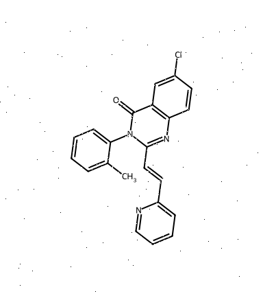 Cc1ccccc1-n1c(C=Cc2ccccn2)nc2ccc(Cl)cc2c1=O